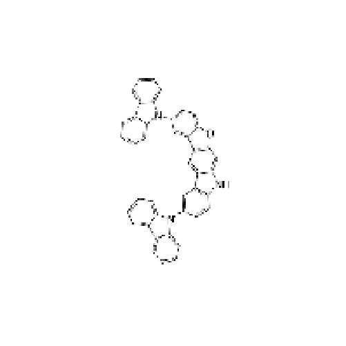 c1ccc2c(c1)c1ccccc1n2-c1ccc2[nH]c3cc4oc5ccc(-n6c7ccccc7c7ccccc76)cc5c4cc3c2c1